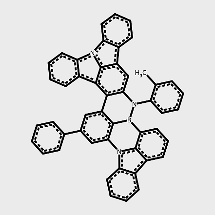 Cc1ccccc1N1B2c3c(cc(-c4ccccc4)cc3-n3c4ccccc4c4cccc2c43)-c2c1cc1c3ccccc3n3c4ccccc4c2c13